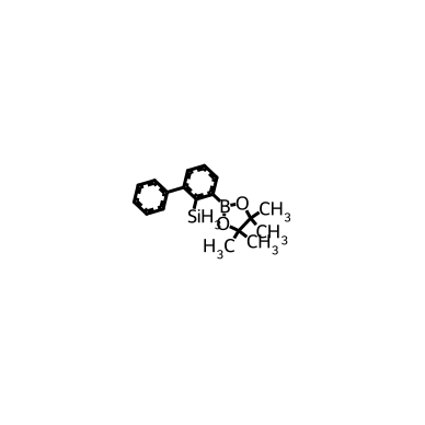 CC1(C)OB(c2cccc(-c3ccccc3)c2[SiH3])OC1(C)C